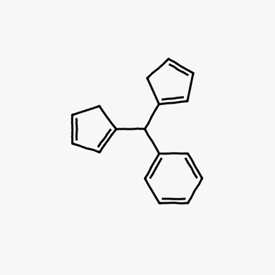 C1=CCC(C(C2=CC=CC2)c2ccccc2)=C1